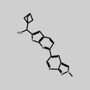 Cn1cc2cc(-c3ccc4cc(C(O)C56CC(C5)C6)sc4n3)cnc2n1